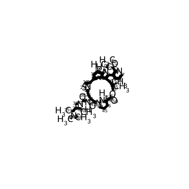 CCn1c(-c2cccnc2[C@H](C)OC)c2c3cc(ccc31)-c1csc(n1)C[C@H](NC(=O)N1C[C@H]([C@@H](C)N(C)C)[C@H]1C)C(=O)N1CCC[C@H](N1)C(=O)OCC(C)(C)C2